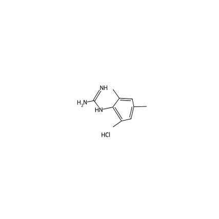 Cc1cc(C)c(NC(=N)N)c(C)c1.Cl